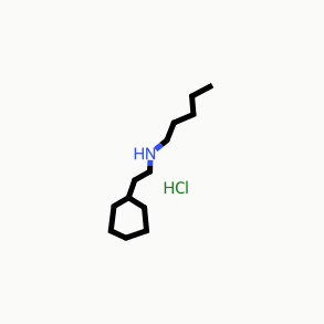 CCCCCNCCC1CCCCC1.Cl